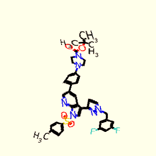 Cc1ccc(S(=O)(=O)n2cc(-c3ccn(Cc4cc(F)cc(F)c4)n3)c3cc(-c4ccc(N5CCN(C(=O)OC(C)(C)C)CC5)cc4)cnc32)cc1